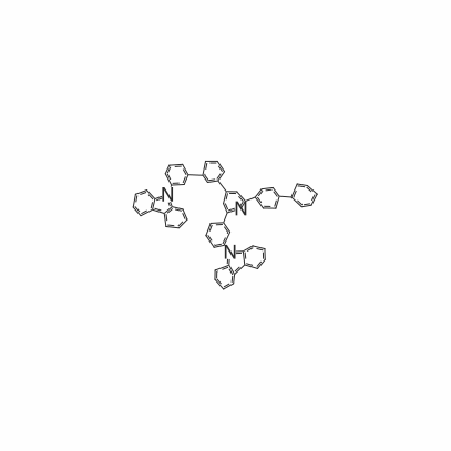 c1ccc(-c2ccc(-c3cc(-c4cccc(-c5cccc(-n6c7ccccc7c7ccccc76)c5)c4)cc(-c4cccc(-n5c6ccccc6c6ccccc65)c4)n3)cc2)cc1